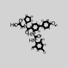 COc1ccc(-c2ccc(C(=O)N(CC(=O)O)C3CCCC3)c(NC(=O)Nc3c(C)cc(C)cc3C)c2)cc1